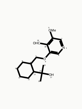 COc1cncc(OCC2CCCCC2C(C)(C)O)c1C=O